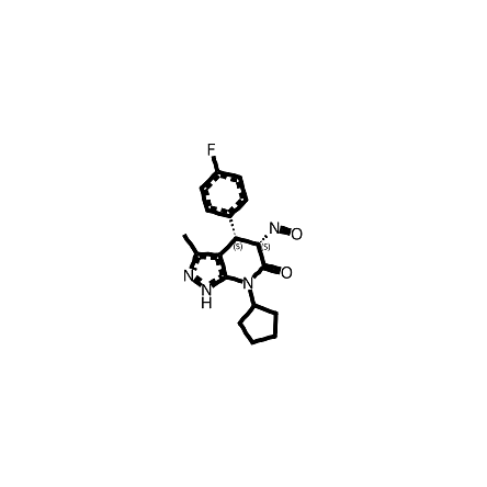 Cc1n[nH]c2c1[C@H](c1ccc(F)cc1)[C@H](N=O)C(=O)N2C1CCCC1